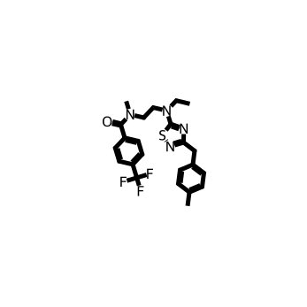 CCN(CCN(C)C(=O)c1ccc(C(F)(F)F)cc1)c1nc(Cc2ccc(C)cc2)ns1